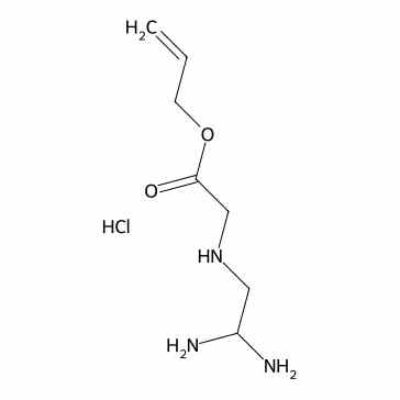 C=CCOC(=O)CNCC(N)N.Cl